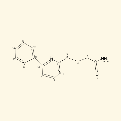 NC(=O)CCSc1nccc(-c2ccccn2)n1